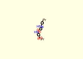 CC(C)OC(=O)c1ccc(NS(=O)(=O)c2ccc3nc(-c4ccc(C(C)C)cc4)[nH]c3c2)cc1